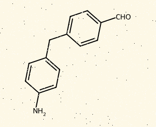 Nc1ccc(Cc2ccc(C=O)cc2)cc1